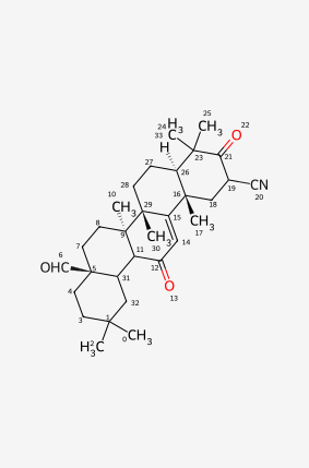 CC1(C)CC[C@]2(C=O)CC[C@]3(C)C(C(=O)C=C4[C@@]5(C)CC(C#N)C(=O)C(C)(C)[C@@H]5CC[C@]43C)C2C1